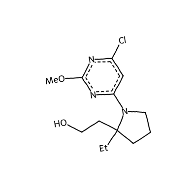 CCC1(CCO)CCCN1c1cc(Cl)nc(OC)n1